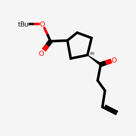 C=CCCC(=O)[C@@H]1CCC(C(=O)OC(C)(C)C)C1